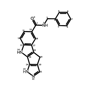 O=C(NCc1ccccc1)c1ccc2[nH]c3c(c2c1)Cc1cn[nH]c1-3